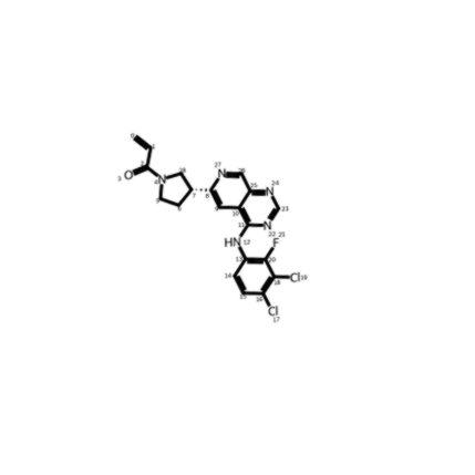 C=CC(=O)N1CC[C@@H](c2cc3c(Nc4ccc(Cl)c(Cl)c4F)ncnc3cn2)C1